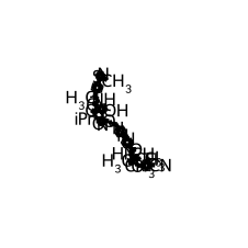 Cc1ncsc1-c1ccc([C@H](C)NC(=O)[C@@H]2C[C@@H](O)CN2C(=O)C(c2cc(OCCN3CCN(c4ccc(C(=O)NC5C(C)(C)C(Oc6ccc(C#N)c(Cl)c6)C5(C)C)cn4)CC3)no2)C(C)C)cc1